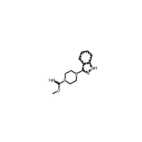 COC(=N)N1CCN(c2n[nH]c3ccccc23)CC1